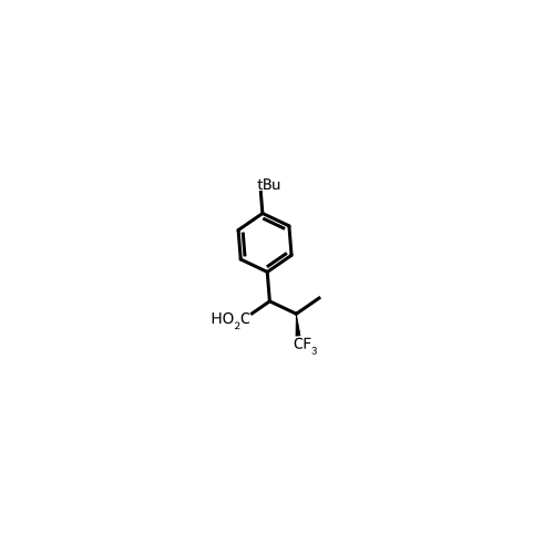 C[C@H](C(C(=O)O)c1ccc(C(C)(C)C)cc1)C(F)(F)F